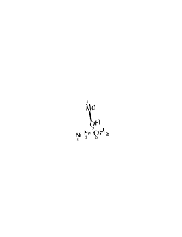 O.[Fe].[Ni].[OH][Mo]